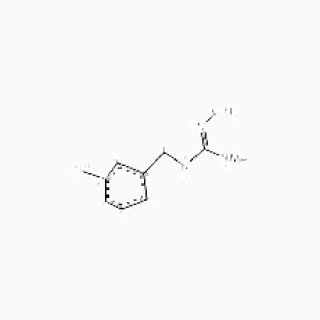 CN=C(NC)NCc1cccc(Cl)c1